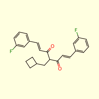 O=C(C=Cc1cccc(F)c1)C(CC1CCC1)C(=O)C=Cc1cccc(F)c1